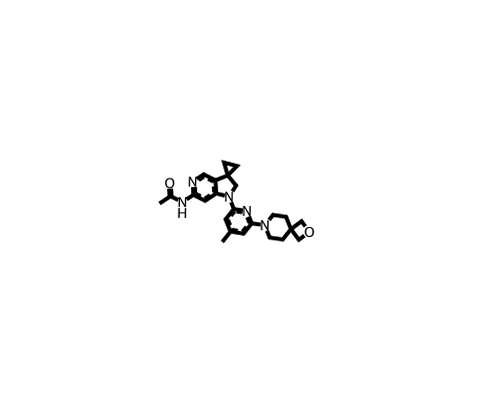 CC(=O)Nc1cc2c(cn1)C1(CC1)CN2c1cc(C)cc(N2CCC3(CC2)COC3)n1